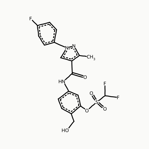 Cc1nn(-c2ccc(F)cc2)cc1C(=O)Nc1ccc(CO)c(OS(=O)(=O)C(F)F)c1